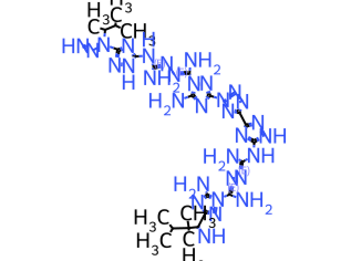 CC(C)C(C)N(N=N)c1n[nH]c(N/C(N)=N/N=C(\N)n2nc(-n3nnc(-c4n[nH]c(N/C(N)=N/N=C(\N)n5nc(C(=N)C(C)(C)C(C)C)nc5N)n4)n3)nc2N)n1